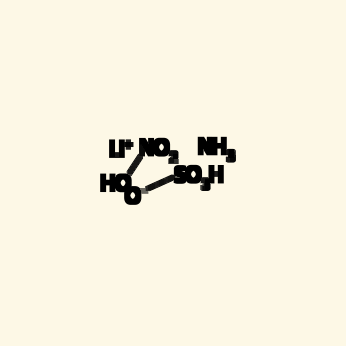 N.O=S(=O)([O-])O.O=[N+]([O-])O.[Li+]